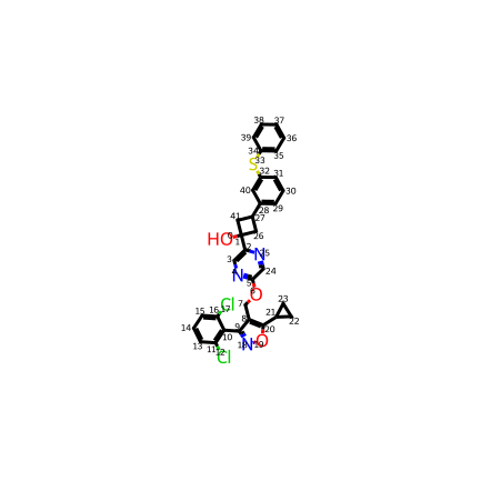 OC1(c2cnc(OCc3c(-c4c(Cl)cccc4Cl)noc3C3CC3)cn2)CC(c2cccc(Sc3ccccc3)c2)C1